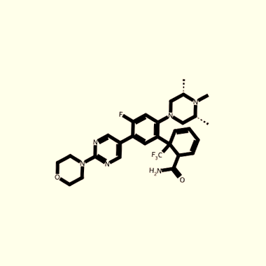 C[C@@H]1CN(c2cc(F)c(-c3cnc(N4CCOCC4)nc3)cc2C2(C(F)(F)F)C=CC=CC2C(N)=O)C[C@H](C)N1C